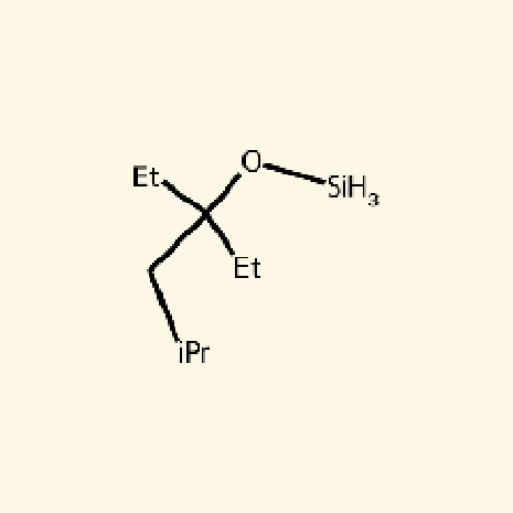 CCC(CC)(CC(C)C)O[SiH3]